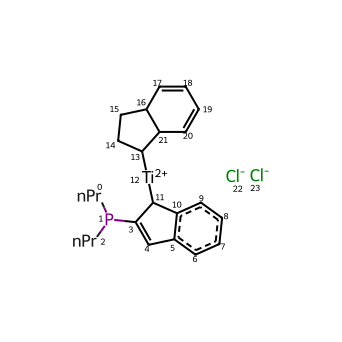 CCCP(CCC)C1=Cc2ccccc2[CH]1[Ti+2][CH]1CCC2C=CC=CC21.[Cl-].[Cl-]